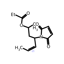 C/C=C\C(CC(C)OC(=O)CC)N1C(=O)C=CC1=O